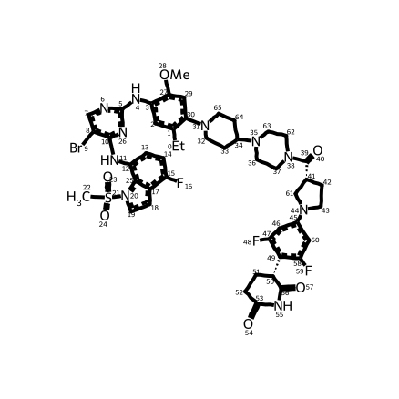 CCc1cc(Nc2ncc(Br)c(Nc3ccc(F)c4ccn(S(C)(=O)=O)c34)n2)c(OC)cc1N1CCC(N2CCN(C(=O)[C@@H]3CCN(c4cc(F)c([C@H]5CCC(=O)NC5=O)c(F)c4)C3)CC2)CC1